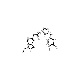 CCn1ncc2cc(CC(=O)Nc3cnn(Cc4ccc(F)c(F)c4)n3)ccc21